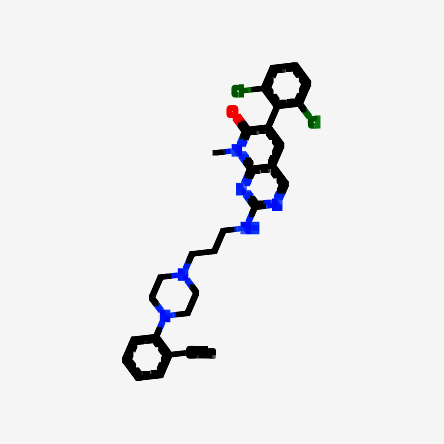 COc1ccccc1N1CCN(CCCNc2ncc3cc(-c4c(Cl)cccc4Cl)c(=O)n(C)c3n2)CC1